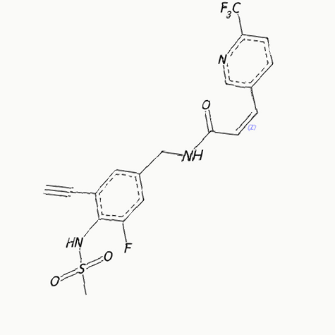 C#Cc1cc(CNC(=O)/C=C\c2ccc(C(F)(F)F)nc2)cc(F)c1NS(C)(=O)=O